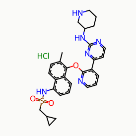 Cc1ccc2c(NS(=O)(=O)CC3CC3)cccc2c1Oc1ncccc1-c1ccnc(NC2CCCNC2)n1.Cl